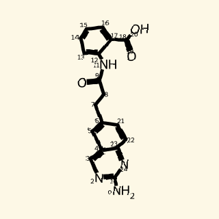 Nc1ncc2cc(CCC(=O)Nc3ccccc3C(=O)O)ccc2n1